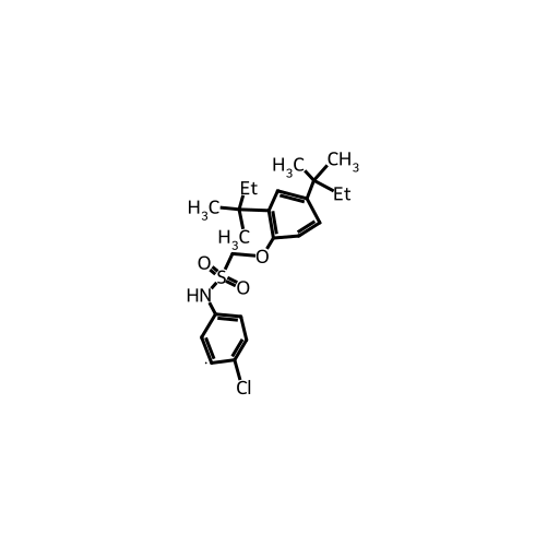 CCC(C)(C)c1ccc(OCS(=O)(=O)Nc2c[c]c(Cl)cc2)c(C(C)(C)CC)c1